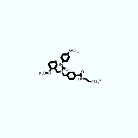 O=C(O)CCNC(=O)c1ccc(CN(Cc2ccccc2OC(F)(F)F)C(=O)Nc2ccc(SC(F)(F)F)cc2)cc1